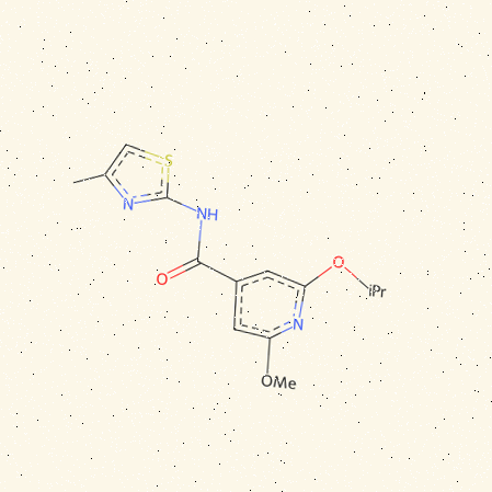 COc1cc(C(=O)Nc2nc(C)cs2)cc(OC(C)C)n1